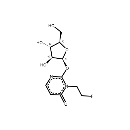 O=c1ccnc(O[C@@H]2O[C@H](CO)[C@@H](O)[C@@H]2O)n1CCF